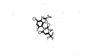 CSc1nc2c(Cl)cc(F)c(-n3c(=O)cc(C(F)(F)F)n(C)c3=O)c2o1